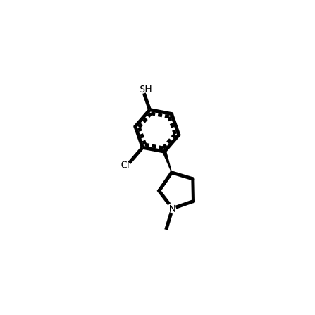 CN1CC[C@H](c2ccc(S)cc2Cl)C1